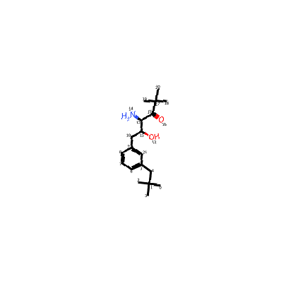 CC(C)(C)Cc1cccc(CC(O)C(N)C(=O)C(C)(C)C)c1